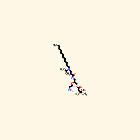 CCCCCCCCCCCCN(CCC(=O)NCC(CNC(=O)CC(C)(C)C)OCCN)C(C)C